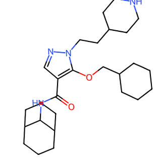 O=C(NC1C2CCCC1CCC2)c1cnn(CCC2CCNCC2)c1OCC1CCCCC1